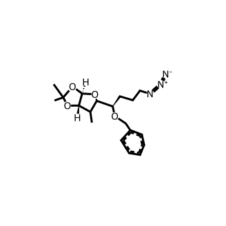 CC1[C@@H]2OC(C)(C)O[C@H]2O[C@@H]1[C@@H](CCCN=[N+]=[N-])OCc1ccccc1